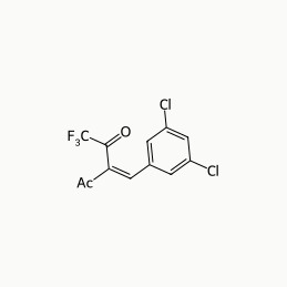 CC(=O)C(=Cc1cc(Cl)cc(Cl)c1)C(=O)C(F)(F)F